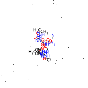 CC(C)C(=O)Nc1nc2c(ncn2[C@H]2C[C@H](NP(=O)(OCCC#N)OC[C@@H]3C[C@@H](O[Si](C)(C)C(C)(C)C)[C@H](n4cnc5c(NC(=O)c6ccccc6)ncnc54)O3)[C@@H](COP(N)(=O)OCCC#N)O2)c(=O)[nH]1